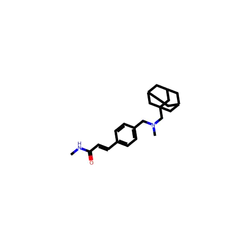 CNC(=O)/C=C/c1ccc(CN(C)CC23CC4CC(CC(C4)C2)C3)cc1